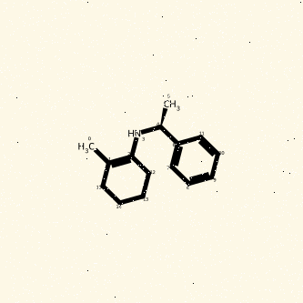 CC1=C(N[C@@H](C)c2ccccc2)CCCC1